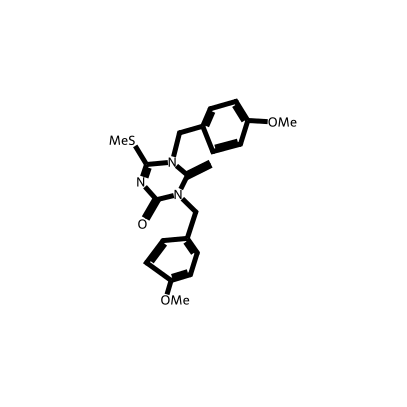 C=C1N(Cc2ccc(OC)cc2)C(=O)N=C(SC)N1Cc1ccc(OC)cc1